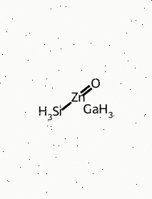 [GaH3].[O]=[Zn][SiH3]